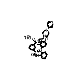 Cl.Cl.O=C(NCCN1CCN(c2ccncc2)CC1)c1cccc(S(=O)(=O)Nc2ccccc2Oc2ccc(Cl)cc2Cl)c1